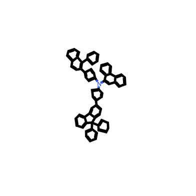 C1=CC(C2(c3ccccc3)c3ccccc3-c3cc(-c4ccc(N(c5ccc(-c6ccc7ccccc7c6-c6ccccc6)cc5)c5cc6ccccc6c6ccccc56)cc4)ccc32)=CCC1